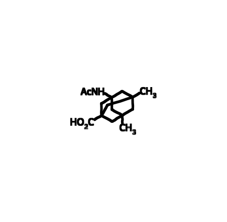 CC(=O)NC12CC3(C)CC(C)(C1)CC(C(=O)O)(C3)C2